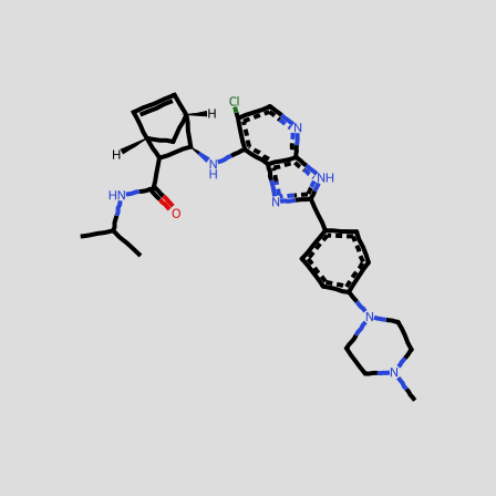 CC(C)NC(=O)C1[C@@H]2C=C[C@@H](C2)[C@H]1Nc1c(Cl)cnc2[nH]c(-c3ccc(N4CCN(C)CC4)cc3)nc12